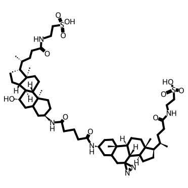 C[C@H](CCC(=O)NCCS(=O)(=O)O)[C@H]1CC[C@H]2[C@@H]3[C@@H](O)CC4C[C@H](NC(=O)CCCC(=O)N[C@@H]5CC[C@@]6(C)C(C5)CC5(N=N5)[C@H]5[C@@H]7CC[C@H]([C@H](C)CCC(=O)NCCS(=O)(=O)O)[C@@]7(C)CC[C@@H]56)CC[C@]4(C)[C@H]3CC[C@]12C